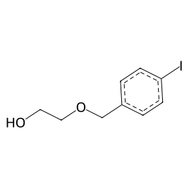 OCCOCc1ccc(I)cc1